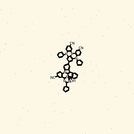 N#Cc1ccc2c(c1)B1c3cc(C#N)ccc3N(c3ccccc3)c3cc(-c4ccc5c(c4)c4ccc(O)cc4n5-c4ccc(C#N)cc4-c4nc(-c5ccccc5)nc(-c5ccccc5)n4)cc(c31)N2c1ccccc1